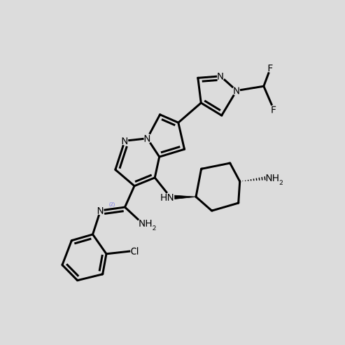 N/C(=N\c1ccccc1Cl)c1cnn2cc(-c3cnn(C(F)F)c3)cc2c1N[C@H]1CC[C@H](N)CC1